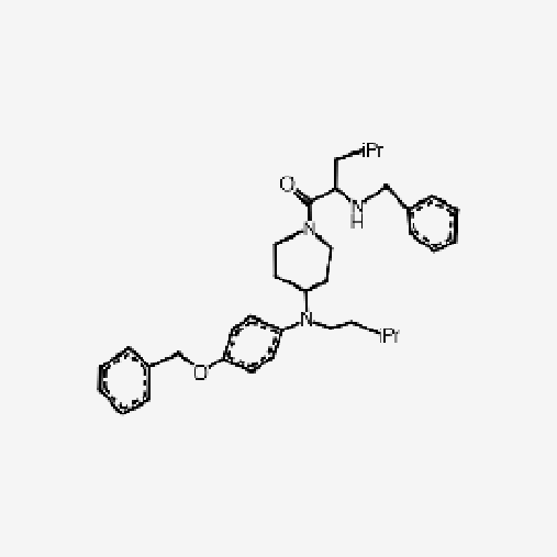 CC(C)CCN(c1ccc(OCc2ccccc2)cc1)C1CCN(C(=O)C(CC(C)C)NCc2ccccc2)CC1